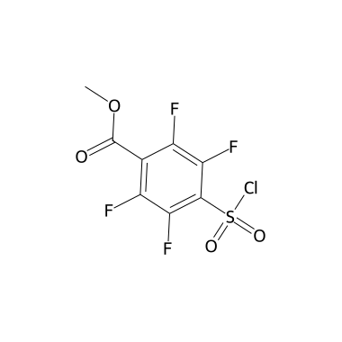 COC(=O)c1c(F)c(F)c(S(=O)(=O)Cl)c(F)c1F